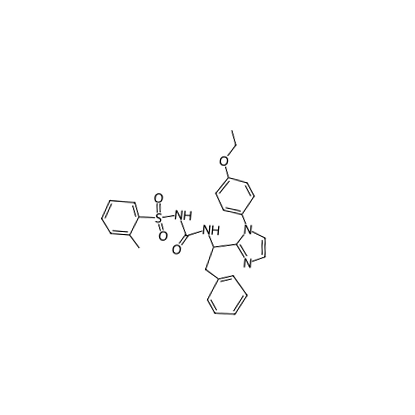 CCOc1ccc(-n2ccnc2C(Cc2ccccc2)NC(=O)NS(=O)(=O)c2ccccc2C)cc1